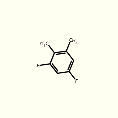 Cc1cc(F)cc(F)c1C